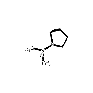 C[SH](C)N1CCCC1